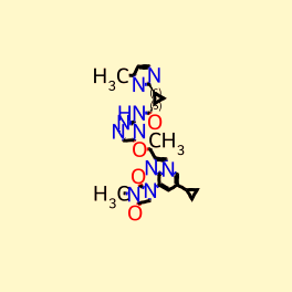 Cc1ccnc([C@H]2C[C@@H]2C(=O)Nc2nncc(OC(C)c3cn4cc(C5CC5)cc(N5CC(=O)N(C)C5=O)c4n3)n2)n1